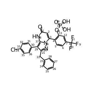 O=c1cc(-c2ccc(C(F)(F)F)cc2OP(=O)(O)O)n2nc(Cc3ccccc3)c(-c3ccc(Cl)cc3)c2[nH]1